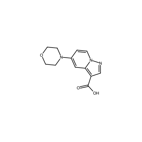 O=C(O)c1cnn2ccc(N3CCOCC3)cc12